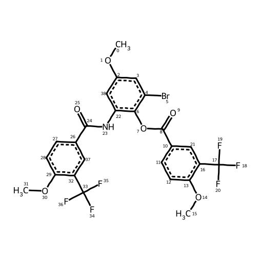 COc1cc(Br)c(OC(=O)c2ccc(OC)c(C(F)(F)F)c2)c(NC(=O)c2ccc(OC)c(C(F)(F)F)c2)c1